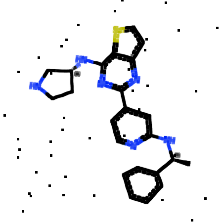 C[C@H](Nc1cc(-c2nc(N[C@@H]3CCNC3)c3sccc3n2)ccn1)c1ccccc1